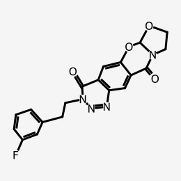 O=C1c2cc3nnn(CCc4cccc(F)c4)c(=O)c3cc2OC2OCCN12